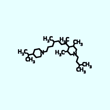 CC(C)CCN1CC(C)C(C(C)CCC(C)CCCN2CCC(C(C)C)CC2)C(C)C1